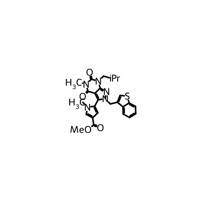 COC(=O)c1cc(-c2c3c(=O)n(C)c(=O)n(CC(C)C)c3nn2Cc2csc3ccccc23)n(C)c1